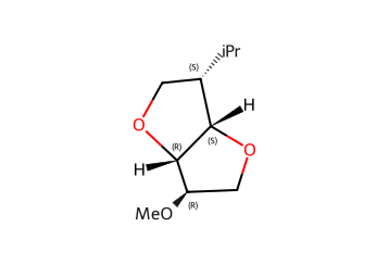 CO[C@@H]1CO[C@@H]2[C@H]1OC[C@@H]2C(C)C